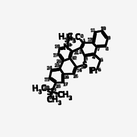 Cc1c2c(c(CC(C)C)c3ccccc13)Sc1cc3cc([Si](C)(C)C)ccc3c3cc[n+](C)c-2c13